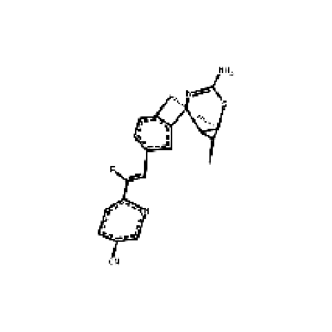 CC1C2[C@@]1(C)SC(N)=N[C@@]21Cc2ccc(/C=C(\F)c3ccc(C#N)cn3)cc21